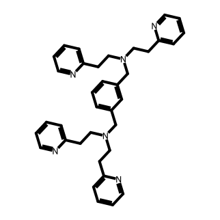 c1ccc(CCN(CCc2ccccn2)Cc2cccc(CN(CCc3ccccn3)CCc3ccccn3)c2)nc1